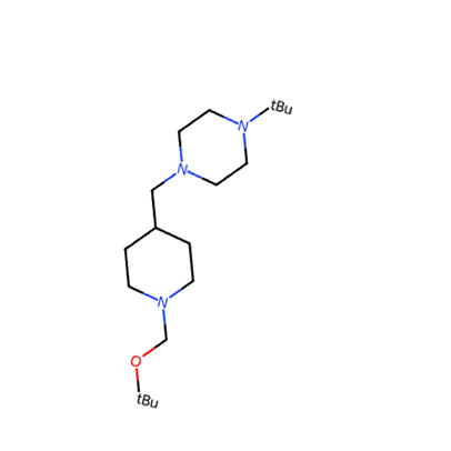 CC(C)(C)OCN1CCC(CN2CCN(C(C)(C)C)CC2)CC1